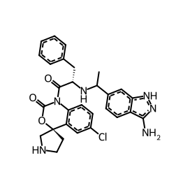 CC(N[C@@H](Cc1ccccc1)C(=O)N1C(=O)O[C@]2(CCNC2)c2cc(Cl)ccc21)c1ccc2c(N)n[nH]c2c1